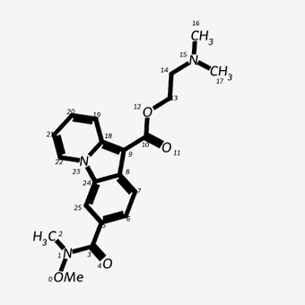 CON(C)C(=O)c1ccc2c(C(=O)OCCN(C)C)c3ccccn3c2c1